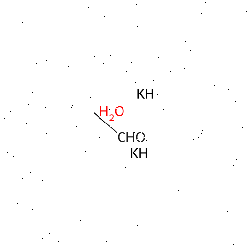 CC=O.O.[KH].[KH]